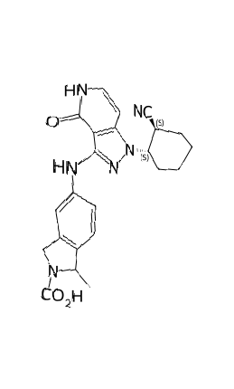 CC1c2ccc(Nc3nn([C@H]4CCCC[C@@H]4C#N)c4cc[nH]c(=O)c34)cc2CN1C(=O)O